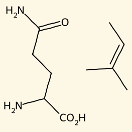 CC=C(C)C.NC(=O)CCC(N)C(=O)O